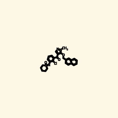 Cn1ncc(C(=O)c2cccc(N=S3(=O)CCCCC3)c2Cl)c1OCc1ccc2ccccc2c1